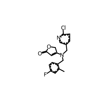 Cc1cc(F)ccc1CN(Cc1ccc(Cl)nc1)C1=CC(=O)OC1